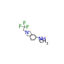 CNc1ccc2c(c1)CN(CC(F)(F)F)C2